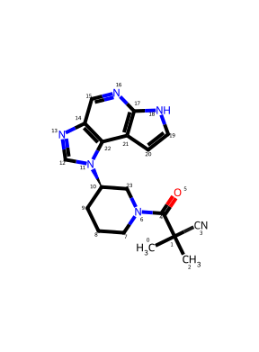 CC(C)(C#N)C(=O)N1CCC[C@@H](n2cnc3cnc4[nH]ccc4c32)C1